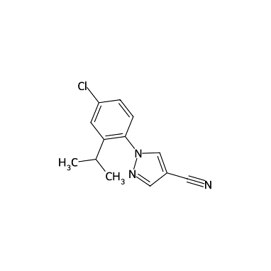 CC(C)c1cc(Cl)ccc1-n1cc(C#N)cn1